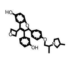 CC1CCN(C(C)COc2ccc(C3Oc4ccc(O)cc4C(C4COC4)=C3c3cccc(O)c3)cc2)C1